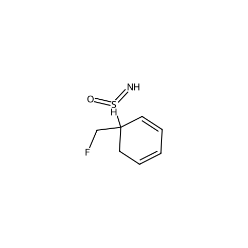 N=[SH](=O)C1(CF)C=CC=CC1